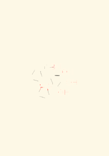 Bc1c(O)c(O)c(O)c(O)c1-c1c(C)cccc1-c1ccccc1